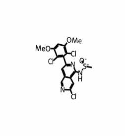 COc1cc(OC)c(Cl)c(-c2cc3cnc(Cl)cc3c(N[S+](C)[O-])n2)c1Cl